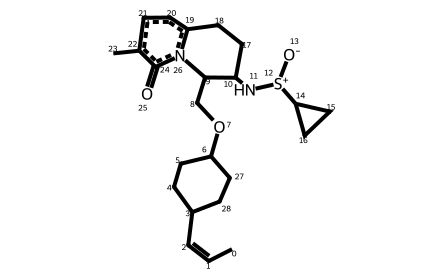 C/C=C\C1CCC(OCC2C(N[S+]([O-])C3CC3)CCc3ccc(C)c(=O)n32)CC1